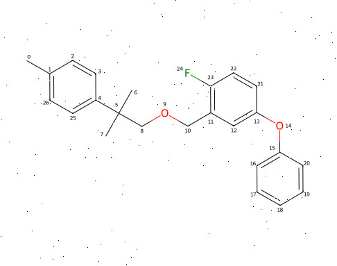 Cc1ccc(C(C)(C)COCc2cc(Oc3ccccc3)ccc2F)cc1